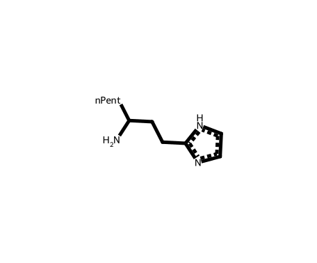 CCCCCC(N)CCc1ncc[nH]1